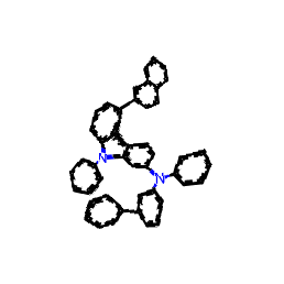 c1ccc(-c2cccc(N(c3ccccc3)c3ccc4c5c(-c6ccc7ccccc7c6)cccc5n(-c5ccccc5)c4c3)c2)cc1